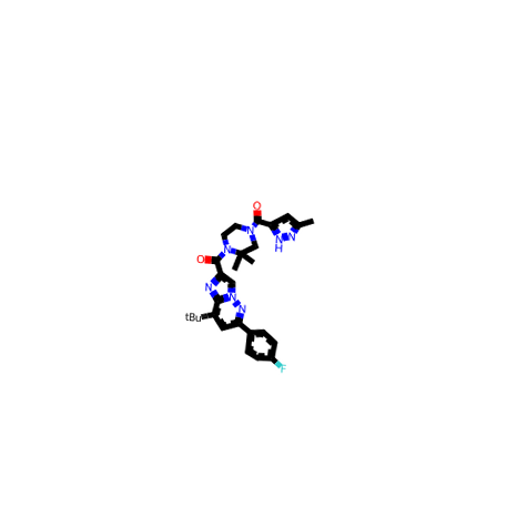 Cc1cc(C(=O)N2CCN(C(=O)c3cn4nc(-c5ccc(F)cc5)cc(C(C)(C)C)c4n3)C(C)(C)C2)[nH]n1